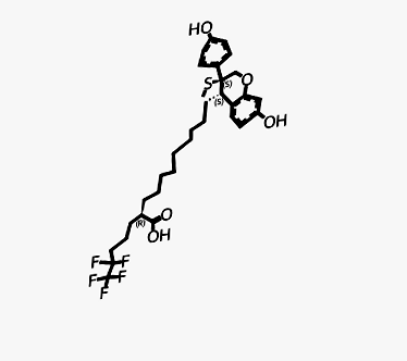 CS[C@@]1(c2ccc(O)cc2)COc2cc(O)ccc2[C@@H]1CCCCCCCCC[C@H](CCCC(F)(F)C(F)(F)F)C(=O)O